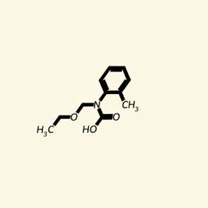 CCOCN(C(=O)O)c1ccccc1C